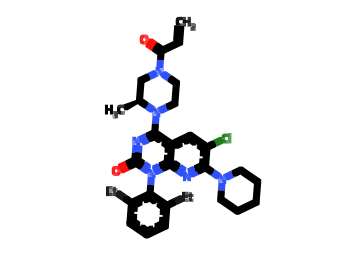 C=CC(=O)N1CCN(c2nc(=O)n(-c3c(CC)cccc3CC)c3nc(N4CCCCC4)c(Cl)cc23)[C@@H](C)C1